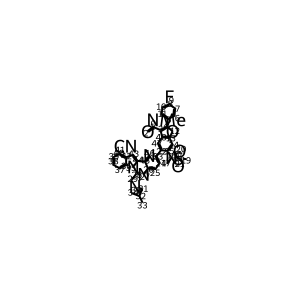 CNC(=O)c1c(-c2ccc(F)cc2)oc2cc(N(C)S(C)(=O)=O)c(-c3ccc4nc(CN5CC(C)C5)n5c6cccc(C#N)c6cc5c4n3)cc12